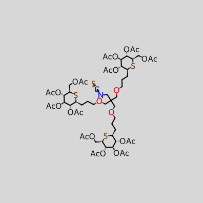 CC(=O)OC[C@H]1S[C@@H](CCCOCC(CN=C=S)(COCCC[C@@H]2S[C@H](COC(C)=O)[C@@H](OC(C)=O)[C@H](OC(C)=O)[C@H]2OC(C)=O)COCCC[C@@H]2S[C@H](COC(C)=O)[C@@H](OC(C)=O)[C@H](OC(C)=O)[C@H]2OC(C)=O)[C@H](OC(C)=O)[C@@H](OC(C)=O)[C@@H]1OC(C)=O